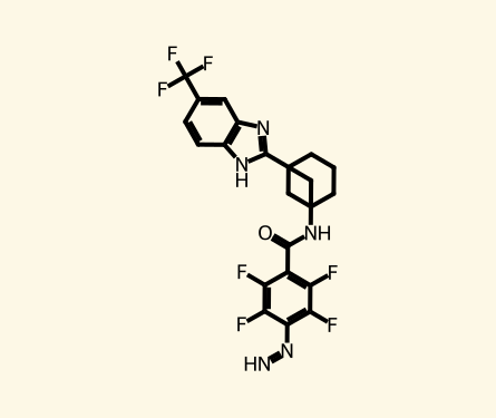 N=Nc1c(F)c(F)c(C(=O)NC23CCCC(c4nc5cc(C(F)(F)F)ccc5[nH]4)(C2)C3)c(F)c1F